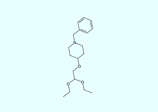 CCOC(COC1CCN(Cc2ccccc2)CC1)OCC